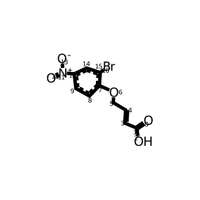 O=C(O)/C=C/COc1ccc([N+](=O)[O-])cc1Br